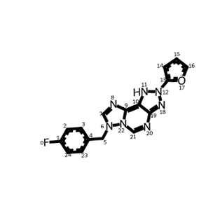 Fc1ccc(CN2C=NC3=C4NN(c5ccco5)N=C4N=CN32)cc1